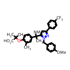 CNC(C)(c1ccc(OC(C)(C)C(=O)O)c(C)c1)c1cc(-c2ccc(C(F)(F)F)cc2)nn1Cc1ccc(OC)cc1